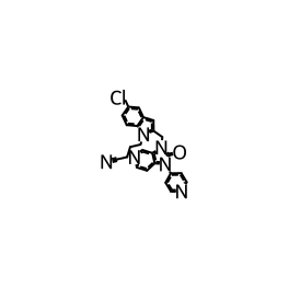 N#CCCCn1c(Cn2c(=O)n(-c3ccncc3)c3ccncc32)cc2cc(Cl)ccc21